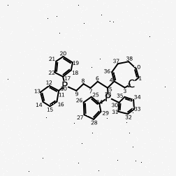 C1=CCCC(C(CCCCP(c2ccccc2)c2ccccc2)P(c2ccccc2)c2ccccc2)=CCC1